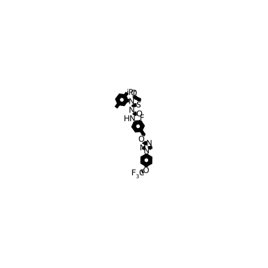 Cc1ccc(C(C)C)c(N2C(=O)CS/C2=N\C(=O)Nc2ccc(COc3ncn(-c4ccc(OC(F)(F)F)cc4)n3)cc2F)c1